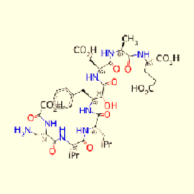 CC(C)C[C@H](NC(=O)[C@@H](NC(=O)[C@H](CN)NC(=O)C(=O)O)C(C)C)C(=O)N[C@@H](Cc1ccccc1)[C@@H](O)C(=O)N[C@@H](CC(=O)O)C(=O)N[C@@H](C)C(=O)N[C@@H](CCC(=O)O)C(=O)O